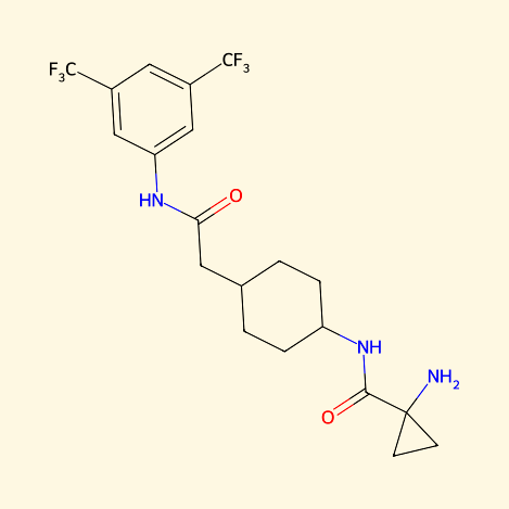 NC1(C(=O)NC2CCC(CC(=O)Nc3cc(C(F)(F)F)cc(C(F)(F)F)c3)CC2)CC1